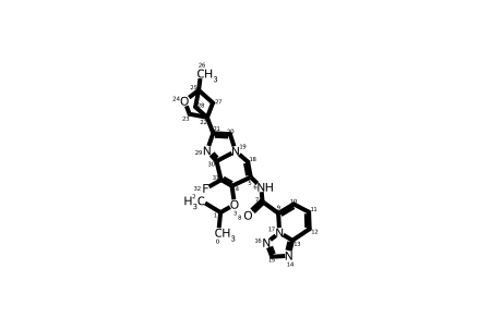 CC(C)Oc1c(NC(=O)c2cccc3ncnn23)cn2cc(C34COC(C)(C3)C4)nc2c1F